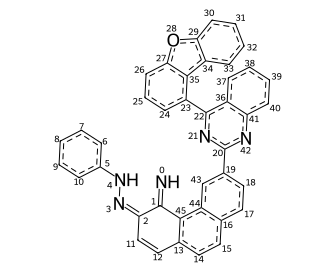 N=C1/C(=N\Nc2ccccc2)C=Cc2ccc3ccc(-c4nc(-c5cccc6oc7ccccc7c56)c5ccccc5n4)cc3c21